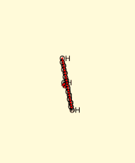 CC=C(C)C(=O)O.OCCOCCOCCOCCOCCOCCOCCOCCOCCOCCOCCOCCOCCOCCO